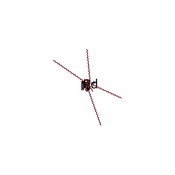 CCCCCCCCCCCCCCCCCCCCCCCCCCCc1cccc(C2=CC(CCCCC)=C(c3cccc(CCCCCCCCCCCCCCCCCCCCCCCCCCC)c3)[N+]2=[N-])c1.CCCCCCCCCCCCCCCCCCCCCCCC[CH2][Pd][CH2]CCCCCCCCCCCCCCCCCCCCCCCC